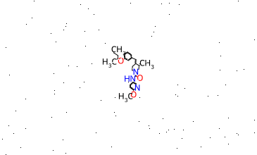 CCCC(C)Oc1cccc(C=C2CCN(C(=O)Nc3ccc(OC)nc3)CC2C)c1